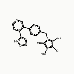 CCCCn1c(Cl)c(CCC)n(Cc2ccc(-c3cnccc3-c3nnn[nH]3)cc2)c1=O